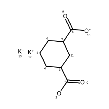 O=C([O-])C1CCCC(C(=O)[O-])C1.[K+].[K+]